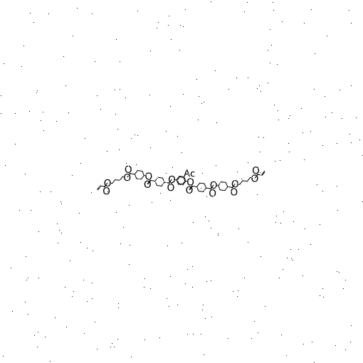 C=CC(=O)OCCCCOC(=O)C1CCC(OC(=O)C2CCC(C(=O)Oc3ccc(OC(=O)C4CCC(C(=O)OC5CCC(C(=O)OCCCCOC(=O)C=C)CC5)CC4)c(C(C)=O)c3)CC2)CC1